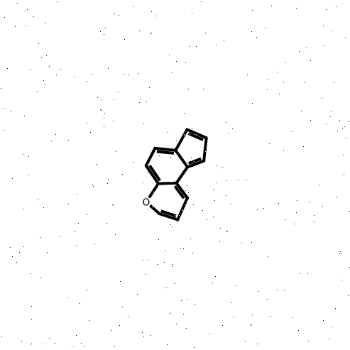 c1cc2ccc3occcc3c2c1